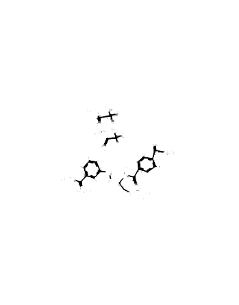 N=C(N)c1cccc(OC[C@@H](CC(=O)O)NC(=O)c2ccc(C(N)=O)cc2)c1.O=C(O)C(F)(F)F.O=C(O)C(F)(F)F